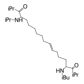 CCC(C)NC(CCC/C=C/CCCCCCC(NC(C)C)C(=O)C(C)C)C(=O)C(C)C